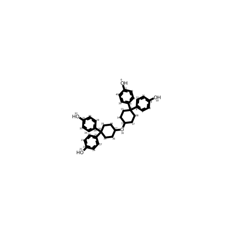 Oc1ccc(C2(c3ccc(O)cc3)CCC(OC3CCC(c4ccc(O)cc4)(c4ccc(O)cc4)CC3)CC2)cc1